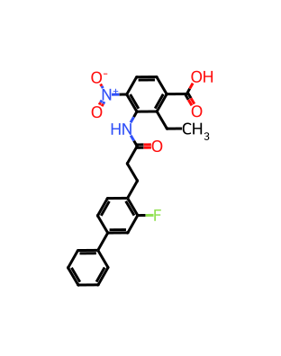 CCc1c(C(=O)O)ccc([N+](=O)[O-])c1NC(=O)CCc1ccc(-c2ccccc2)cc1F